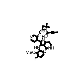 CC#CC(=O)N1[C@@H](COc2cnccc2-c2[nH]c3c(c2Nc2cccc(F)c2OC)C(=O)NCC3)CC1(C)C